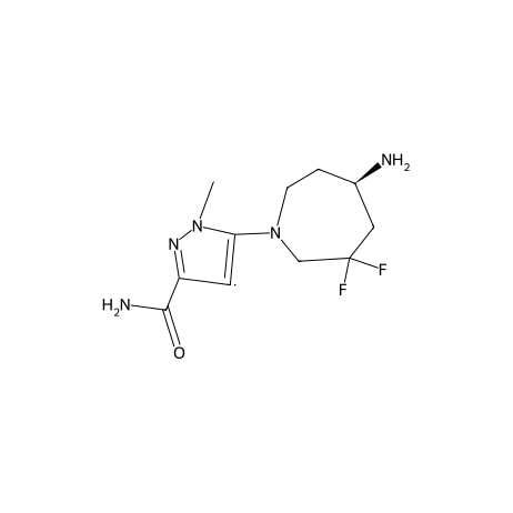 Cn1nc(C(N)=O)[c]c1N1CC[C@@H](N)CC(F)(F)C1